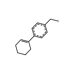 ICc1ccc(C2=CCCCC2)cc1